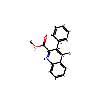 COC(=O)c1nc2ccccc2c(C)c1-c1ccccc1